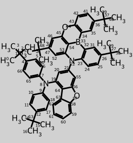 CC(C)(C)c1ccc(N(c2ccc(C(C)(C)C)cc2)c2cc(N3c4ccc(C(C)(C)C)cc4B4c5cc(C(C)(C)C)ccc5Oc5cc(C(C)(C)C)cc3c54)cc3oc4ccccc4c23)cc1